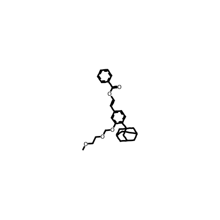 COCCOCOc1cc(C=COC(=O)c2ccccc2)ccc1C12CC3CC(CC(C3)C1)C2